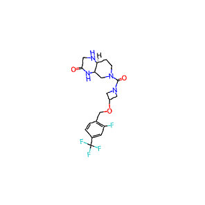 O=C1CN[C@H]2CCN(C(=O)N3CC(OCc4ccc(C(F)(F)F)cc4F)C3)CC2N1